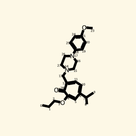 CCCOc1cc(C(C)C)ccc(CN2CCN(c3ccc(OC)cc3)CC2)c1=O